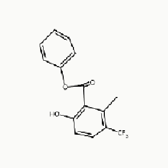 Cc1c(C(F)(F)F)ccc(O)c1C(=O)Oc1ccccc1